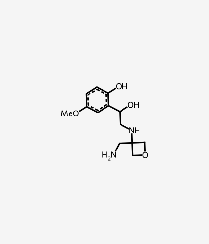 COc1ccc(O)c(C(O)CNC2(CN)COC2)c1